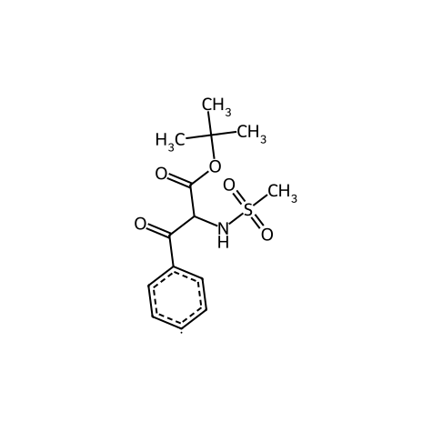 CC(C)(C)OC(=O)C(NS(C)(=O)=O)C(=O)c1cc[c]cc1